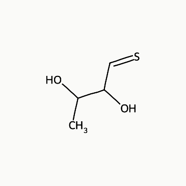 CC(O)C(O)C=S